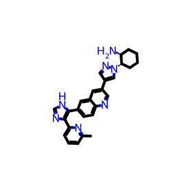 Cc1cccc(-c2nc[nH]c2-c2ccc3ncc(-c4cnn([C@H]5CCCC[C@@H]5N)c4)cc3c2)n1